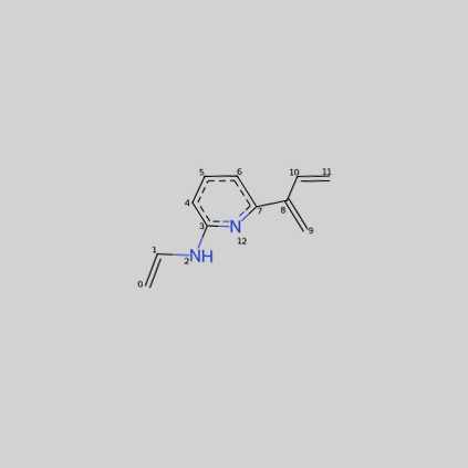 C=CNc1cccc(C(=C)C=C)n1